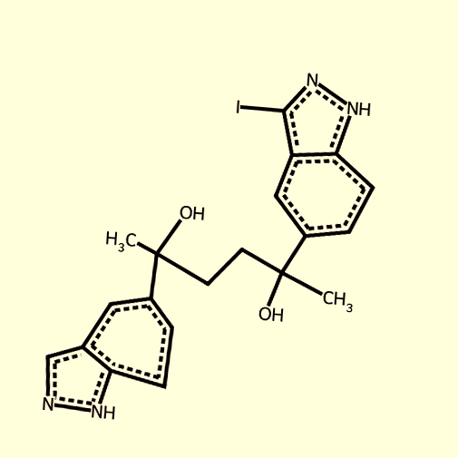 CC(O)(CCC(C)(O)c1ccc2[nH]nc(I)c2c1)c1ccc2[nH]ncc2c1